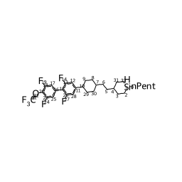 CCCCC[SiH]1CCC(CCC2CCC(c3cc(F)c(-c4cc(F)c(OC(F)(F)F)c(F)c4)c(F)c3)CC2)CC1